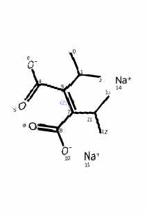 CC(C)/C(C(=O)[O-])=C(/C(=O)[O-])C(C)C.[Na+].[Na+]